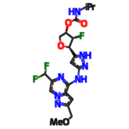 COCc1cc2c(Nc3cc([C@H]4OC[C@@H](OC(=O)NC(C)C)[C@H]4F)[nH]n3)nc(C(F)F)cn2n1